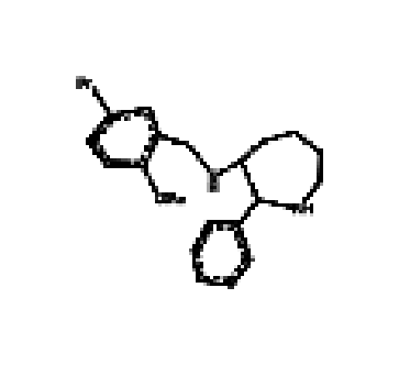 COc1ccc(C(C)C)cc1CNC1CCCCNC1c1ccccc1